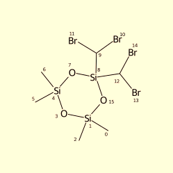 C[Si]1(C)O[Si](C)(C)O[Si](C(Br)Br)(C(Br)Br)O1